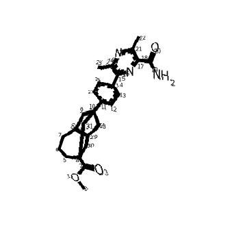 COC(=O)C12CCCC3CC(c4ccc(-c5nc(C(N)=O)c(C)nc5C)cc4)(CC3C1)C2